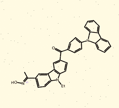 CCn1c2ccc(C(=O)c3ccc(-n4c5ccccc5c5ccccc54)cc3)cc2c2cc(/C(C)=N/O)ccc21